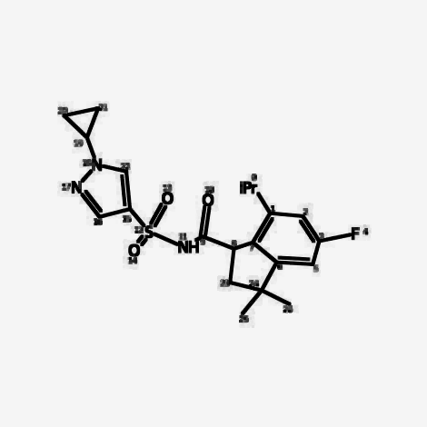 CC(C)c1cc(F)cc2c1C(C(=O)NS(=O)(=O)c1cnn(C3CC3)c1)CC2(C)C